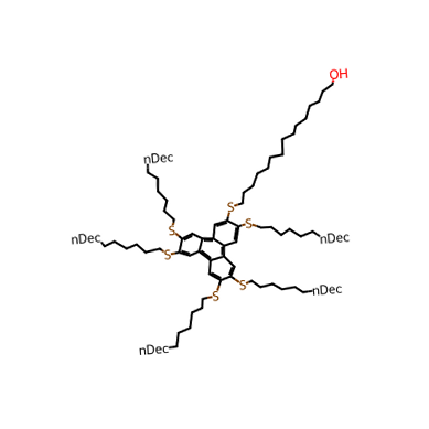 CCCCCCCCCCCCCCCCSc1cc2c3cc(SCCCCCCCCCCCCCCCC)c(SCCCCCCCCCCCCCCCC)cc3c3cc(SCCCCCCCCCCCCCCCO)c(SCCCCCCCCCCCCCCCC)cc3c2cc1SCCCCCCCCCCCCCCCC